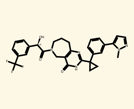 Cn1nccc1-c1cccc(C2(c3nc4c(c(=O)[nH]3)CN(C(=O)[C@H](O)c3cccc(C(F)(F)F)c3)CCC4)CC2)c1